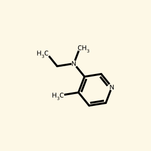 CCN(C)c1cnccc1C